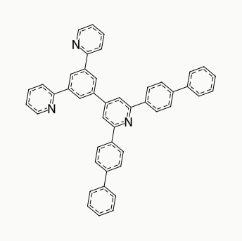 c1ccc(-c2ccc(-c3cc(-c4cc(-c5ccccn5)cc(-c5ccccn5)c4)cc(-c4ccc(-c5ccccc5)cc4)n3)cc2)cc1